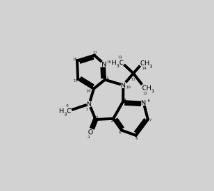 CN1C(=O)c2cccnc2N(C(C)(C)C)c2ncccc21